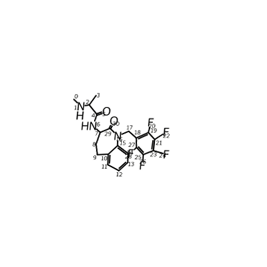 CNC(C)C(=O)NC1CCc2ccccc2N(Cc2c(F)c(F)c(F)c(F)c2F)C1=O